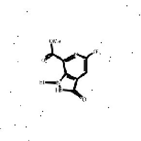 CCn1[nH]c(=O)c2cc(C(F)(F)F)nc(C(=O)OC)c21